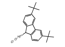 CC(C)(C)c1ccc2c(c1)-c1cc(C(C)(C)C)ccc1[CH]2[Hf+2].[Cl-].[Cl-]